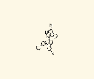 N#Cc1ccc2c(c1)c1ccccc1n2-c1ccc(-c2ccc(-c3ccccc3)cc2-n2c3ccccc3c3cc(C#N)ccc32)cc1C#N